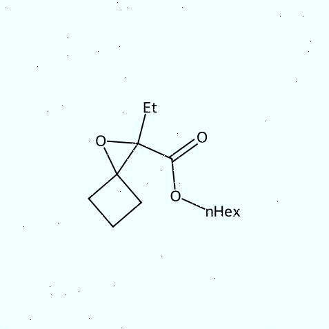 CCCCCCOC(=O)C1(CC)OC12CCC2